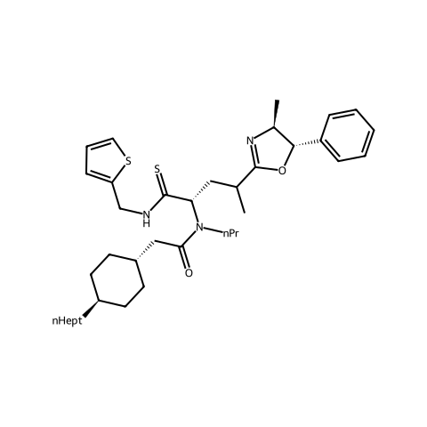 CCCCCCC[C@H]1CC[C@H](CC(=O)N(CCC)[C@@H](CC(C)C2=N[C@@H](C)[C@H](c3ccccc3)O2)C(=S)NCc2cccs2)CC1